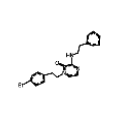 CCc1ccc(CCn2ccnc(NCCc3ccccc3)c2=O)cc1